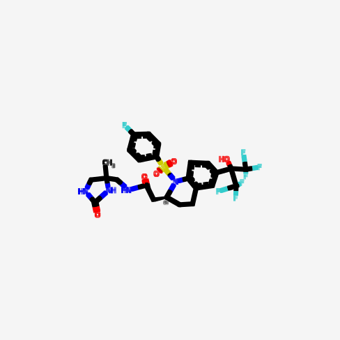 CC1(CNC(=O)C[C@@H]2CCc3cc(C(O)(C(F)(F)F)C(F)(F)F)ccc3N2S(=O)(=O)c2ccc(F)cc2)CNC(=O)N1